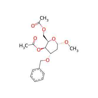 CO[C@@H]1C[C@H](OCc2ccccc2)[C@@H](OC(C)=O)[C@@H](COC(C)=O)O1